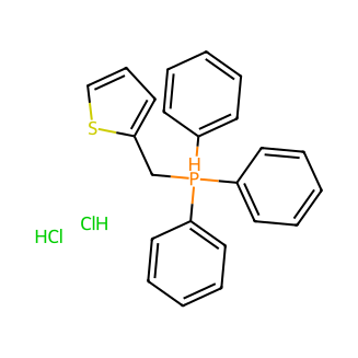 Cl.Cl.c1ccc([PH](Cc2cccs2)(c2ccccc2)c2ccccc2)cc1